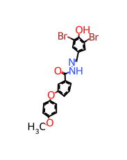 COc1ccc(Oc2cccc(C(=O)NN=Cc3cc(Br)c(O)c(Br)c3)c2)cc1